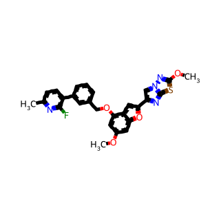 COc1cc(OCc2cccc(-c3ccc(C)nc3F)c2)c2cc(-c3cn4nc(OC)sc4n3)oc2c1